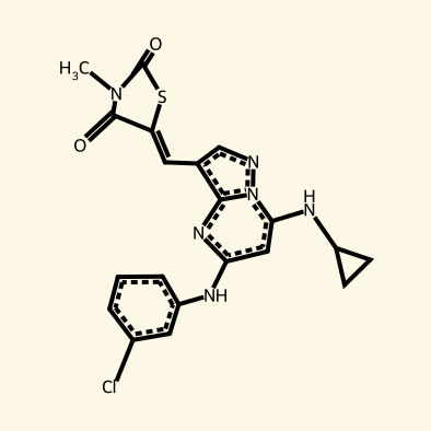 CN1C(=O)S/C(=C\c2cnn3c(NC4CC4)cc(Nc4cccc(Cl)c4)nc23)C1=O